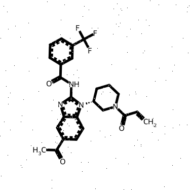 C=CC(=O)N1CCC[C@@H](n2c(NC(=O)c3cccc(C(F)(F)F)c3)nc3cc(C(C)=O)ccc32)C1